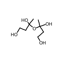 CC(O)(CCO)OC(C)(O)CCO